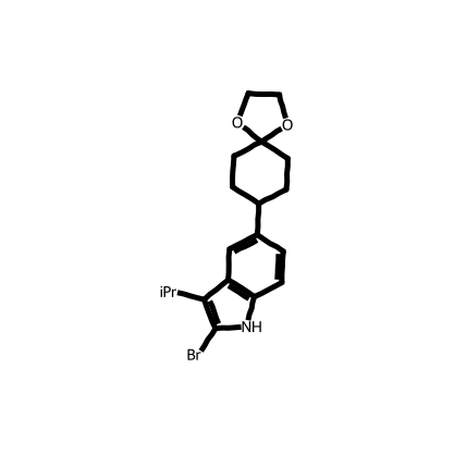 CC(C)c1c(Br)[nH]c2ccc(C3CCC4(CC3)OCCO4)cc12